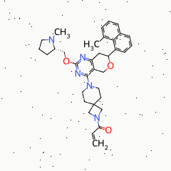 C=CC(=O)N1CC2(CCN(c3nc(OC[C@@H]4CCCN4C)nc4c3COC(c3cccc5cccc(C)c35)C4)CC2)C1